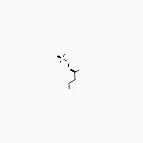 CCCCCCCCC(=NOP(O)(O)=S)OC